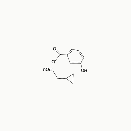 CCCCCCCCCC1CC1.O=C(Cl)c1cccc(O)c1